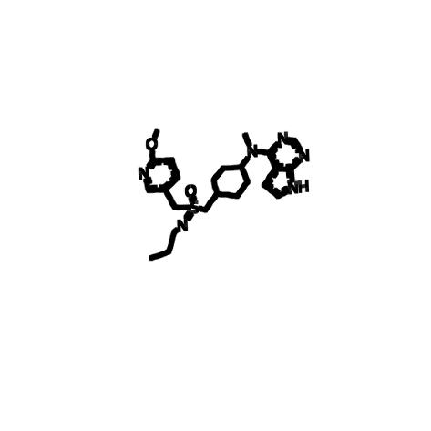 CCCN=S(=O)(Cc1ccc(OC)nc1)CC1CCC(N(C)c2ncnc3[nH]ccc23)CC1